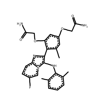 Cc1cccc(C)c1Nc1c(-c2c(C)cc(OCC(N)=O)cc2OCC(N)=O)nc2ccc(F)cn12